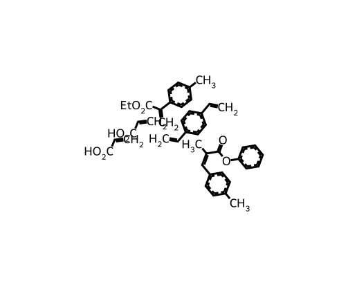 C=C(C(=O)OCC)c1ccc(C)cc1.C=CC(=O)O.C=CC(=O)O.C=Cc1ccc(C=C)cc1.CC(=Cc1ccc(C)cc1)C(=O)Oc1ccccc1